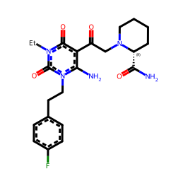 CCn1c(=O)c(C(=O)CN2CCCC[C@@H]2C(N)=O)c(N)n(CCc2ccc(F)cc2)c1=O